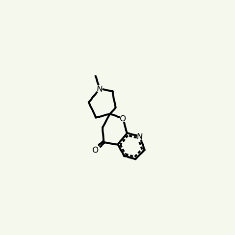 CN1CCC2(CC1)CC(=O)c1cccnc1O2